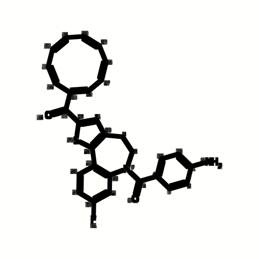 Nc1ccc(C(=O)N2CCc3cc(C(=O)c4ccccccccc4)sc3-c3ccc(F)cc32)cc1